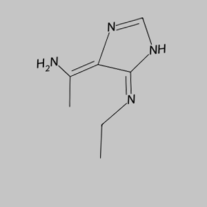 CC/N=C1/NC=N/C1=C(/C)N